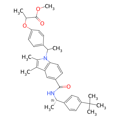 COC(=O)C(C)Oc1ccc(C(C)n2c(C)c(C)c3cc(C(=O)N[C@@H](C)c4ccc(C(C)(C)C)cc4)ccc32)cc1